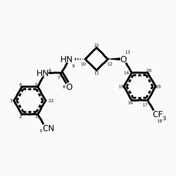 N#Cc1cccc(NC(=O)N[C@H]2C[C@H](Oc3ccc(C(F)(F)F)cc3)C2)c1